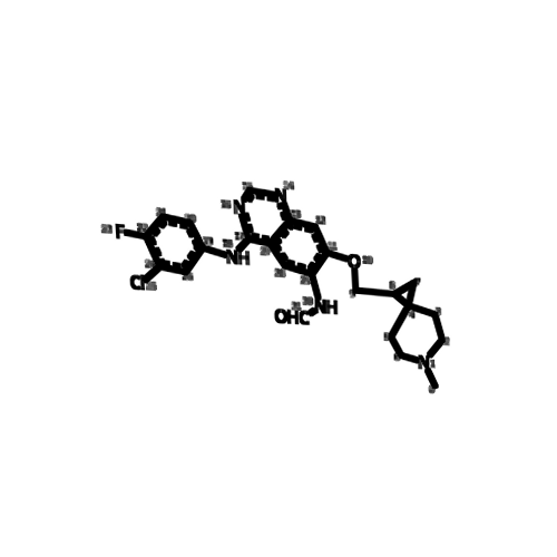 CN1CCC2(CC1)CC2COc1cc2ncnc(Nc3ccc(F)c(Cl)c3)c2cc1NC=O